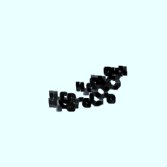 CC1(C)OC[C@H](COc2ccc3c(c2)C(C)(C)c2[nH]c4c(O)c(C#N)ccc4c2C3=O)O1